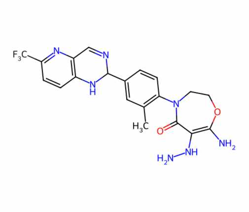 Cc1cc(C2N=Cc3nc(C(F)(F)F)ccc3N2)ccc1N1CCOC(N)=C(NN)C1=O